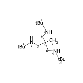 CC(CNC(C)(C)C)(CNC(C)(C)C)CNC(C)(C)C